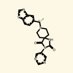 C[C@@H](c1ccc2scnc2c1)N1CCC2(CC1)NC(=O)N(c1cncnc1)C2=O